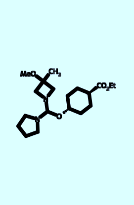 CCOC(=O)[C@H]1CC[C@H](OC(N2CCCC2)N2CC(C)(OC)C2)CC1